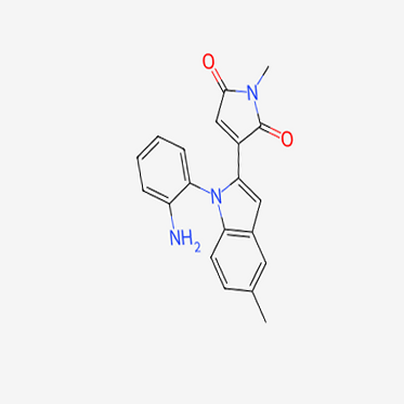 Cc1ccc2c(c1)cc(C1=CC(=O)N(C)C1=O)n2-c1ccccc1N